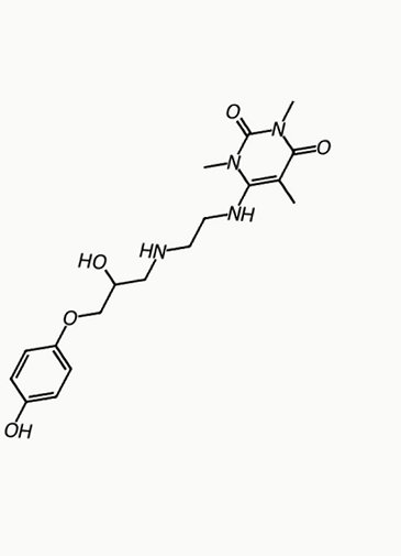 Cc1c(NCCNCC(O)COc2ccc(O)cc2)n(C)c(=O)n(C)c1=O